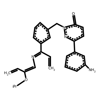 C=C/C(=C\N=C(/C=C)c1cccc(Cn2nc(-c3cccc(N)c3)ccc2=O)c1)OC(C)C